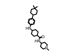 CN1CCC(NC(=O)C2CCC(Nc3ccc(C4CCC(C)(C)CC4)cc3)CC2)CC1